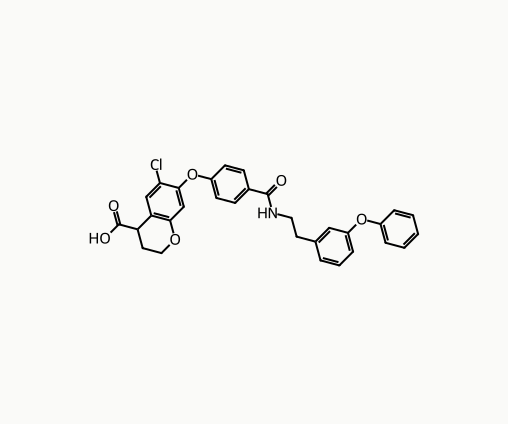 O=C(NCCc1cccc(Oc2ccccc2)c1)c1ccc(Oc2cc3c(cc2Cl)C(C(=O)O)CCO3)cc1